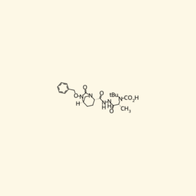 C[C@H](C(=O)NNC(=O)[C@@H]1CC[C@@H]2CN1C(=O)N2OCc1ccccc1)N(C(=O)O)C(C)(C)C